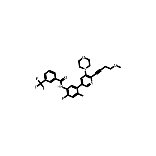 COCCC#Cc1ncc(-c2cc(NC(=O)c3cccc(C(F)(F)F)c3)c(F)cc2C)cc1N1CCOCC1